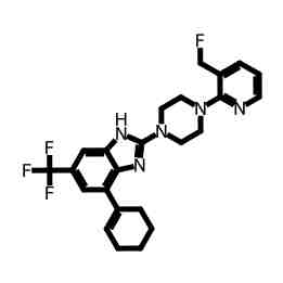 FCc1cccnc1N1CCN(c2nc3c(C4=CCCCC4)cc(C(F)(F)F)cc3[nH]2)CC1